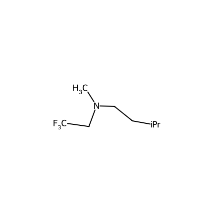 CC(C)CCN(C)CC(F)(F)F